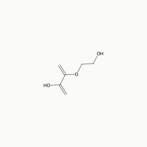 C=C(O)C(=C)OCCO